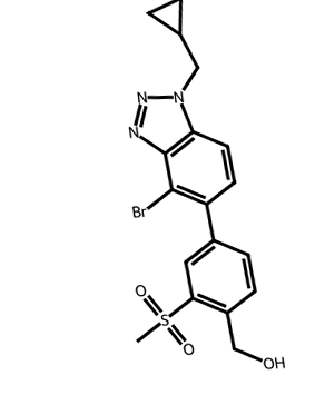 CS(=O)(=O)c1cc(-c2ccc3c(nnn3CC3CC3)c2Br)ccc1CO